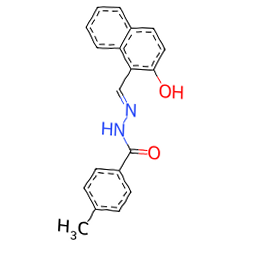 Cc1ccc(C(=O)N/N=C/c2c(O)ccc3ccccc23)cc1